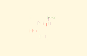 Br.O=[PH](O)O.P.P